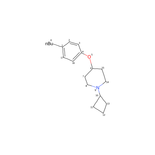 [CH2]CCCc1ccc(OC2CCN(C3CCC3)CC2)cc1